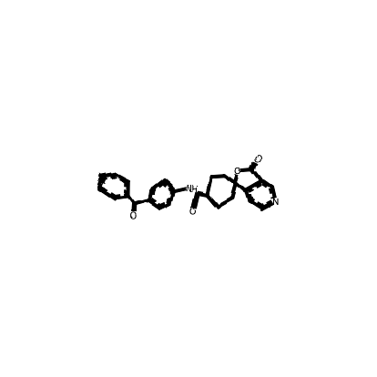 O=C(c1ccccc1)c1ccc(NC(=O)C2CCC3(CC2)OC(=O)c2cnccc23)cc1